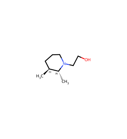 C[C@@H]1[C@@H](C)CCCN1CCO